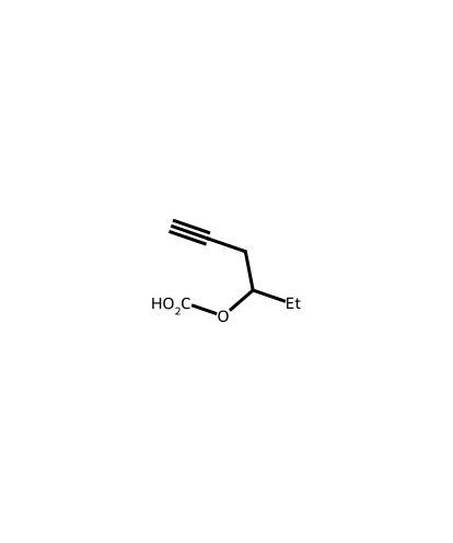 C#CCC(CC)OC(=O)O